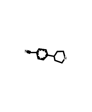 N#Cc1ccc(C2CC[N]CC2)cc1